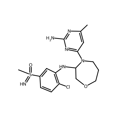 Cc1cc(N2CCCOCC2Nc2cc(S(C)(=N)=O)ccc2Cl)nc(N)n1